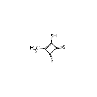 Cc1c(S)c(=S)c1=S